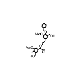 COc1cc([C@@H](OC/C=C/c2cc(CO)c(OCc3ccccc3)c(OC)c2)C2CO2)cc(CO)c1C